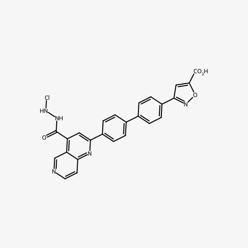 O=C(O)c1cc(-c2ccc(-c3ccc(-c4cc(C(=O)NNCl)c5cnccc5n4)cc3)cc2)no1